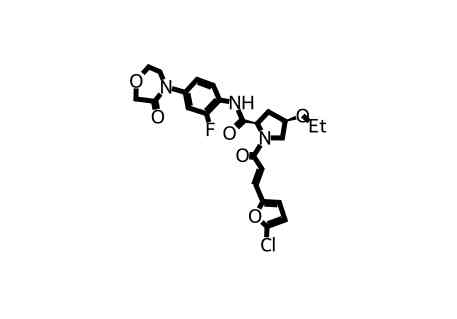 CCO[C@@H]1C[C@H](C(=O)Nc2ccc(N3CCOCC3=O)cc2F)N(C(=O)C=Cc2ccc(Cl)o2)C1